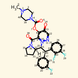 CN1CCN(C(=O)Oc2c3n(ncc2=O)[C@@H]([C@H](c2cccc(F)c2)c2cccc(F)c2F)[C@H]2CCCN2C3=O)CC1